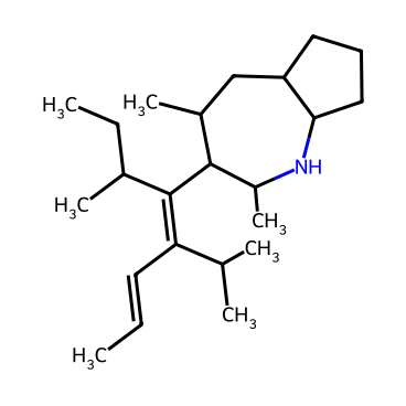 C/C=C/C(=C(\C(C)CC)C1C(C)CC2CCCC2NC1C)C(C)C